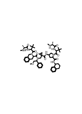 CN[C@@H](C)C(=O)NC(C(=O)N1CC(NC(=O)C2(CN(C(=O)C3Cc4ccccc4CN3C(=O)C(NC(=O)[C@H](C)NC)C(C)(C)C)C(COC)c3ccccc3)CC2)CC1C(=O)NC1CCCc2ccccc21)C(C)(C)C